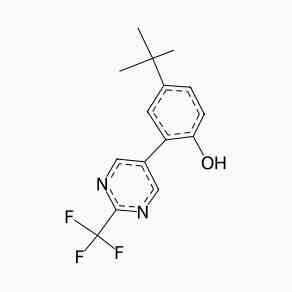 CC(C)(C)c1ccc(O)c(-c2cnc(C(F)(F)F)nc2)c1